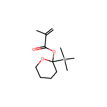 C=C(C)C(=O)OC1([Si](C)(C)C)CCCCO1